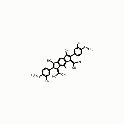 N#CC(C#N)=C1C(c2ccc(OC(F)(F)F)c(C#N)c2)=C(C#N)c2cc3c(c(F)c21)C(=C(C#N)C#N)C(c1ccc(OC(F)(F)F)c(C#N)c1)=C3C#N